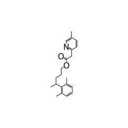 Cc1ccc(CC(=O)OCCCC(C)c2c(C)cccc2C)nc1